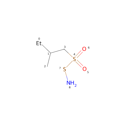 CCC(C)CS(=O)(=O)SN